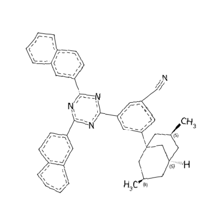 C[C@@H]1C[C@@H]2C[C@H](C)CC(c3cc(C#N)cc(-c4nc(-c5ccc6ccccc6c5)nc(-c5ccc6ccccc6c5)n4)c3)(C1)C2